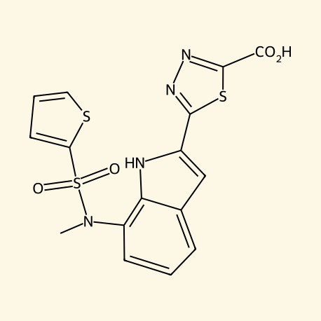 CN(c1cccc2cc(-c3nnc(C(=O)O)s3)[nH]c12)S(=O)(=O)c1cccs1